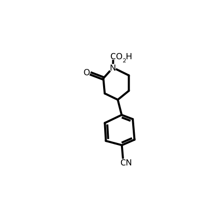 N#Cc1ccc(C2CCN(C(=O)O)C(=O)C2)cc1